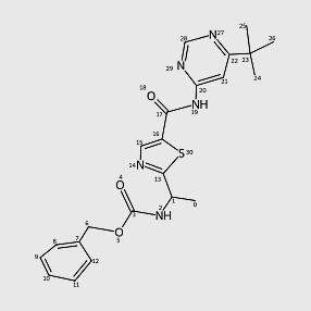 CC(NC(=O)OCc1ccccc1)c1ncc(C(=O)Nc2cc(C(C)(C)C)ncn2)s1